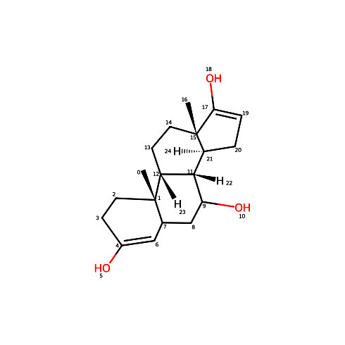 C[C@]12CCC(O)=CC1CC(O)[C@@H]1[C@H]2CC[C@]2(C)C(O)=CC[C@@H]12